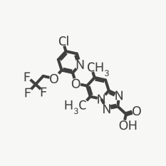 Cc1cc2nc(C(=O)O)nn2c(C)c1Oc1ncc(Cl)cc1OCC(F)(F)F